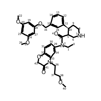 CCN(C(=O)C1CNCC[C@@H]1c1cccc(COc2cc(OC)cc(OC)c2)c1)c1ccc2c(c1)N(CCCOC)C(=O)CO2